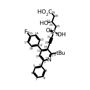 CC(C)(C)c1nc(-c2ccccc2)cc(-c2ccc(F)cc2)c1C#CP(=O)(O)C[C@@H](O)CC(=O)O